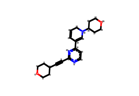 C(#CC1CCOCC1)c1nccc(C2=CN(C3CCOCC3)CC=C2)n1